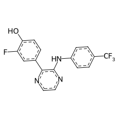 Oc1ccc(-c2nccnc2Nc2ccc(C(F)(F)F)cc2)cc1F